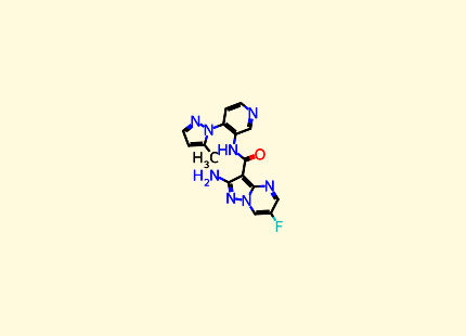 Cc1ccnn1-c1ccncc1NC(=O)c1c(N)nn2cc(F)cnc12